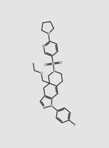 CCOCC12Cc3cnn(-c4ccc(F)cc4)c3C=C1CCN(S(=O)(=O)c1ccc(N3CCCC3)nc1)C2